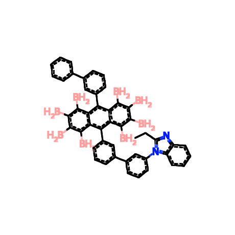 Bc1c(B)c(B)c2c(-c3cccc(-c4cccc(-n5c(CC)nc6ccccc65)c4)c3)c3c(B)c(B)c(B)c(B)c3c(-c3cccc(-c4ccccc4)c3)c2c1B